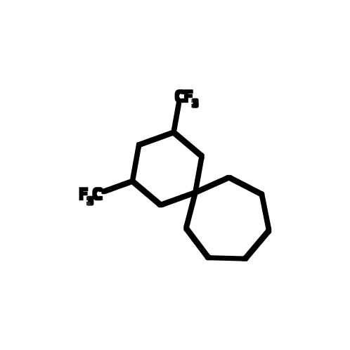 FC(F)(F)C1CC(C(F)(F)F)CC2(CCCCCC2)C1